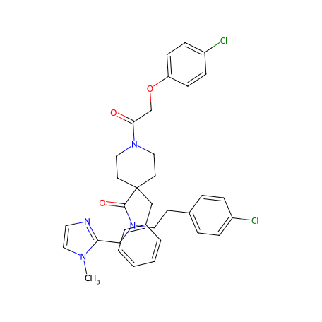 Cn1ccnc1CN(CCc1ccc(Cl)cc1)C(=O)C1(Cc2ccccc2)CCN(C(=O)COc2ccc(Cl)cc2)CC1